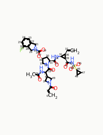 C=CC(=O)N1CC(C(NC(C)=O)C(=O)N2C[C@H](OC(=O)N3Cc4cccc(F)c4C3)C[C@H]2C(=O)N[C@H]2[C@@H](C=C)[C@H]2C(=O)NS(=O)(=O)C2CC2)C1